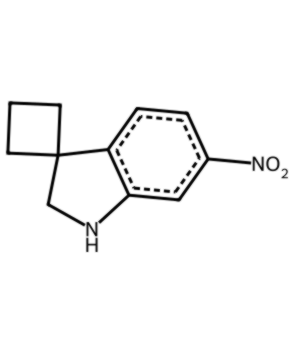 O=[N+]([O-])c1ccc2c(c1)NCC21CCC1